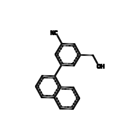 N#Cc1cc(CO)cc(-c2cccc3ccccc23)c1